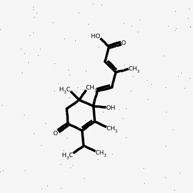 CC(C=CC1(O)C(C)=C(C(C)C)C(=O)CC1(C)C)=CC(=O)O